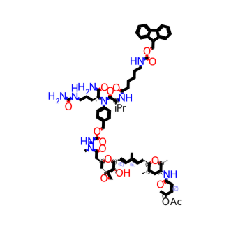 CC(=O)O[C@@H](C)/C=C\C(=O)N[C@@H]1C[C@H](C)[C@H](C/C=C(C)/C=C/[C@H]2O[C@H](CC(=O)N(C)NC(=O)OCc3ccc(N(C(=O)[C@@H](NC(=O)CCCCCNC(=O)OCC4c5ccccc5-c5ccccc54)C(C)C)[C@@H](CCCNC(N)=O)C(N)=O)cc3)C[C@@]3(CO3)[C@@H]2O)O[C@@H]1C